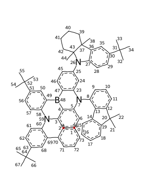 Cc1cc2c3c(c1)N(c1cccc4c1-c1ccccc1C4(C)C)c1cc(N4c5ccc(C(C)(C)C)cc5C5(C)CCCCC45C)ccc1B3c1cc(C(C)(C)C)ccc1N2c1ccc(C(C)(C)C)cc1-c1ccccc1